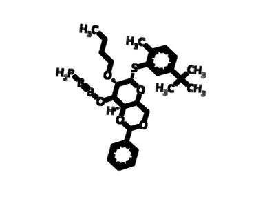 CCCCO[C@H]1C(OB=BP)[C@@H]2OC(c3ccccc3)OCC2O[C@H]1Sc1cc(C(C)(C)C)ccc1C